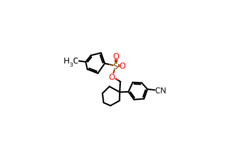 Cc1ccc(S(=O)(=O)OCC2(c3ccc(C#N)cc3)CCCCC2)cc1